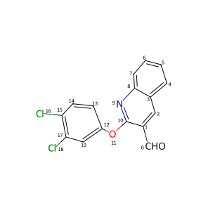 O=Cc1cc2ccccc2nc1Oc1ccc(Cl)c(Cl)c1